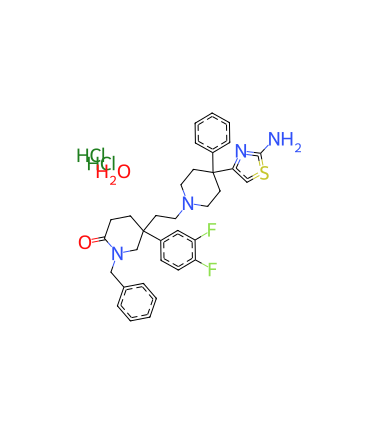 Cl.Cl.Nc1nc(C2(c3ccccc3)CCN(CCC3(c4ccc(F)c(F)c4)CCC(=O)N(Cc4ccccc4)C3)CC2)cs1.O